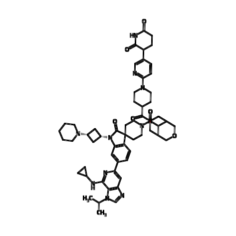 CC(C)n1cnc2cc(-c3ccc4c(c3)N([C@H]3C[C@@H](N5CCCCC5)C3)C(=O)C43CCN(C(=O)C4C5COCC4CN(C(=O)C4CCN(c6ccc(C7CCC(=O)NC7=O)cn6)CC4)C5)CC3)nc(NC3CC3)c21